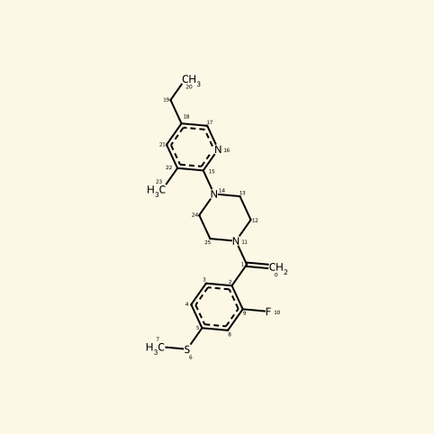 C=C(c1ccc(SC)cc1F)N1CCN(c2ncc(CC)cc2C)CC1